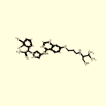 CC(C)C(CO)NCCCOc1ccc2c(Nc3cnn(C(C(N)=O)c4cccc(F)c4F)c3)ncnc2c1